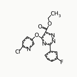 CCOC(=O)c1nnc(-c2cccc(F)c2)nc1Oc1ccc(Cl)nc1